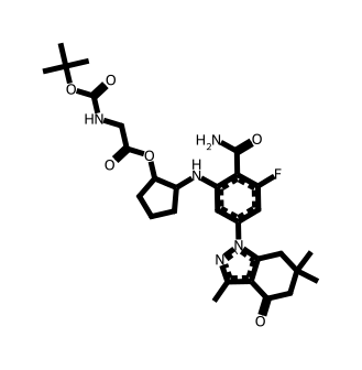 Cc1nn(-c2cc(F)c(C(N)=O)c(NC3CCCC3OC(=O)CNC(=O)OC(C)(C)C)c2)c2c1C(=O)CC(C)(C)C2